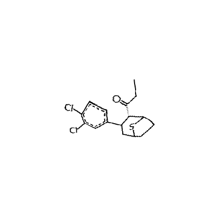 CCC(=O)[C@@H]1C2CCC(CC1c1ccc(Cl)c(Cl)c1)S2